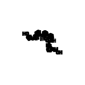 O=C(Nc1cccc(-c2cccc(Nc3nccc4cc(CN5CC[C@@H](O)C5)cnc34)c2Cl)c1Cl)c1cc2n(n1)CCCC2NCCO